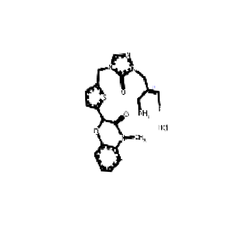 CN1C(=O)C(c2ccc(Cn3cnn(C/C(=C/F)CN)c3=O)s2)Oc2ccccc21.Cl